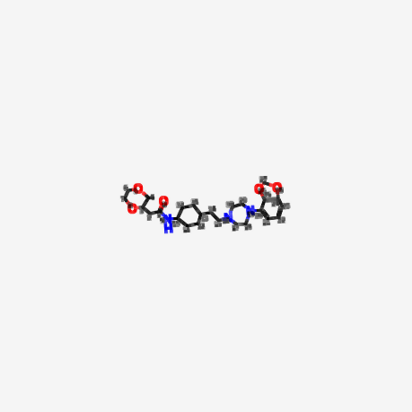 O=C(CC1COCCO1)NC1CCC(CCN2CCN(c3cccc4c3OCO4)CC2)CC1